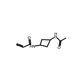 C=CC(=O)NC1CC(NC(C)=O)C1